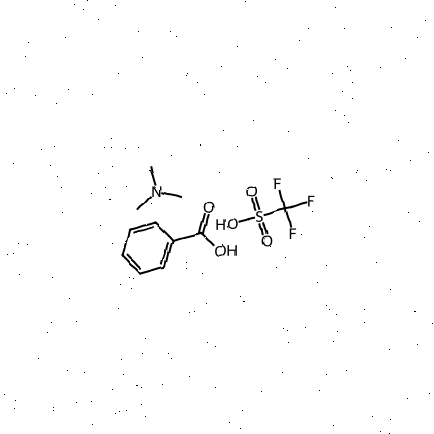 CN(C)C.O=C(O)c1ccccc1.O=S(=O)(O)C(F)(F)F